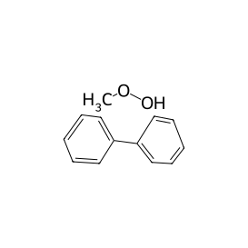 COO.c1ccc(-c2ccccc2)cc1